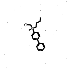 CCCC[Si](C)(CCl)c1ccc(-c2ccccc2)cc1